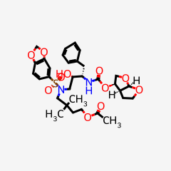 CC(=O)OCCC(C)(C)CN(C[C@@H](O)[C@H](Cc1ccccc1)NC(=O)O[C@H]1CO[C@H]2OCC[C@H]21)S(=O)(=O)c1ccc2c(c1)OCO2